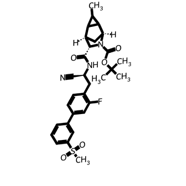 CC1C2C1[C@@H]1C[C@H]2[C@@H](C(=O)N[C@H](C#N)Cc2ccc(-c3cccc(S(C)(=O)=O)c3)cc2F)N1C(=O)OC(C)(C)C